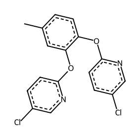 Cc1ccc(Oc2ccc(Cl)cn2)c(Oc2ccc(Cl)cn2)c1